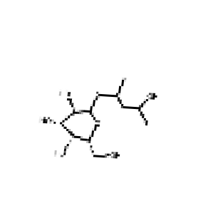 CC(O)CC(C)SC1O[C@H](CO)[C@H](O)[C@H](O)[C@H]1O